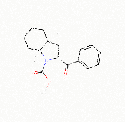 CC(C)(C)OC(=O)N1[C@H](C(=O)c2ccccc2)C[C@@H]2CCCC[C@@H]21